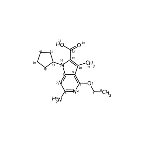 CCOc1nc(N)nc2c1c(C)c(C(=O)O)n2C1CCCC1